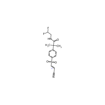 CC(C)(C(=O)NCC(F)F)c1ccc(S(=O)(=O)/C=C/C#N)cc1